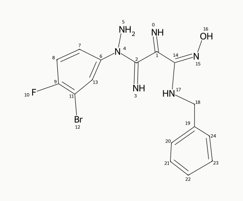 N=C(C(=N)N(N)c1ccc(F)c(Br)c1)/C(=N\O)NCc1ccccc1